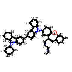 C/C=C\C=C/C1=Cc2ccccc2Oc2ccc(-n3c4ccccc4c4cc(-c5ccc6c(c5)c5ccccc5n6-c5ccccc5)ccc43)cc21